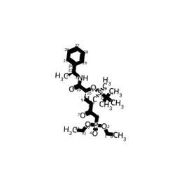 CCOP(=O)(CC(=O)CC[C@@H](O[Si](C)(C)C(C)(C)C)C(=O)N[C@@H](C)c1ccccc1)OCC